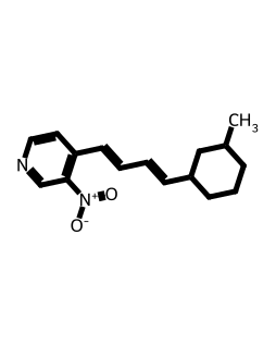 CC1CCCC(C=CC=Cc2ccncc2[N+](=O)[O-])C1